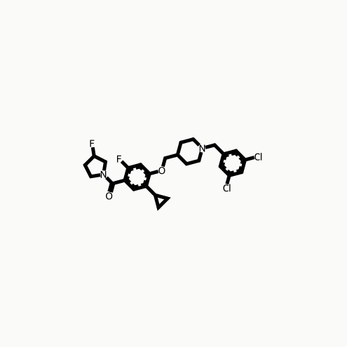 O=C(c1cc(C2CC2)c(OCC2CCN(Cc3cc(Cl)cc(Cl)c3)CC2)cc1F)N1CCC(F)C1